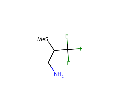 CSC(CN)C(F)(F)F